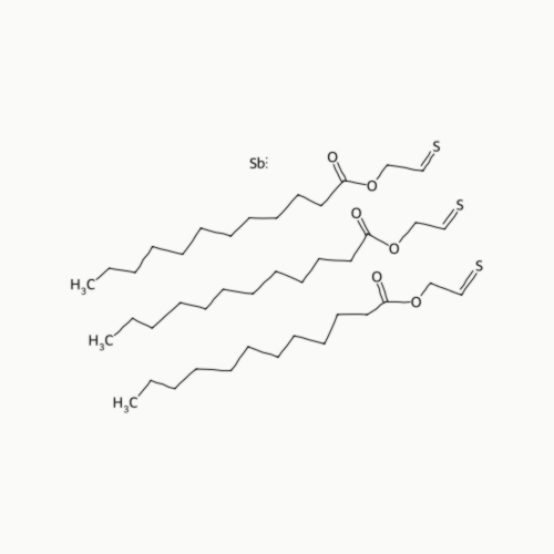 CCCCCCCCCCCC(=O)OCC=S.CCCCCCCCCCCC(=O)OCC=S.CCCCCCCCCCCC(=O)OCC=S.[Sb]